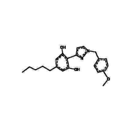 CCCCCc1cc(O)c(-c2ccn(Cc3ccc(OC)cc3)n2)c(O)c1